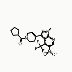 Cn1cc(C2=CCN(C(=O)C3CCCC3)CC2)c2c(C(F)(F)F)c([N+](=O)[O-])cnc21